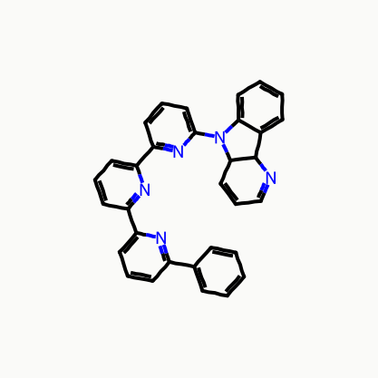 C1=CC2C(N=C1)c1ccccc1N2c1cccc(-c2cccc(-c3cccc(-c4ccccc4)n3)n2)n1